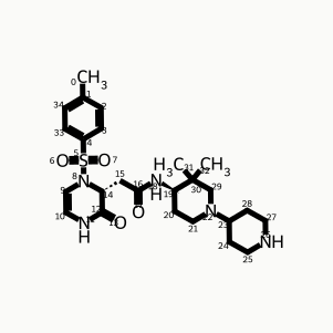 Cc1ccc(S(=O)(=O)N2C=CNC(=O)[C@H]2CC(=O)N[C@@H]2CCN(C3CCNCC3)CC2(C)C)cc1